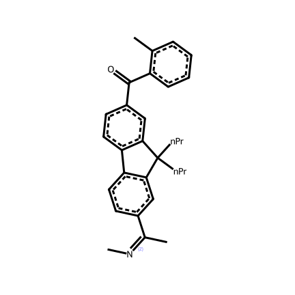 CCCC1(CCC)c2cc(C(=O)c3ccccc3C)ccc2-c2ccc(/C(C)=N\C)cc21